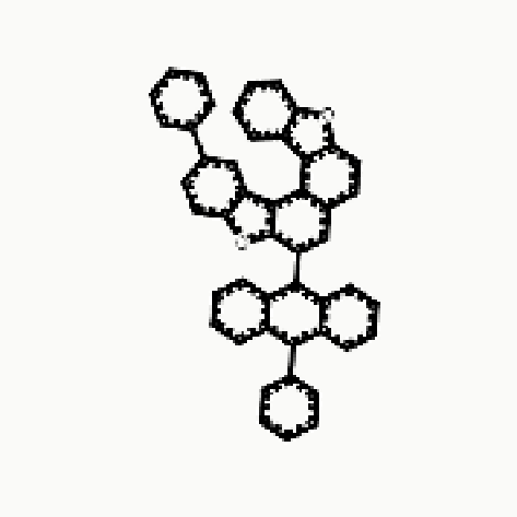 c1ccc(-c2ccc3oc4c(-c5c6ccccc6c(-c6ccccc6)c6ccccc56)cc5ccc6oc7ccccc7c6c5c4c3c2)cc1